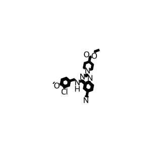 CCOC(=O)C1CCN(c2nc(NCc3ccc(OC)c(Cl)c3)c3cc(C#N)ccc3n2)CC1